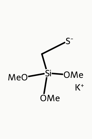 CO[Si](C[S-])(OC)OC.[K+]